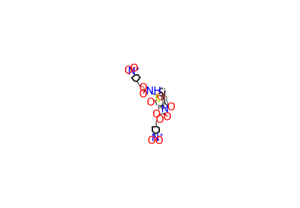 C[C@@H](O[Si](C)(C)C)[C@H]1C(=O)N(C(=O)C(=O)OCc2ccc([N+](=O)[O-])cc2)[C@@H]1CC(=O)SCCNC(=O)OCc1ccc([N+](=O)[O-])cc1